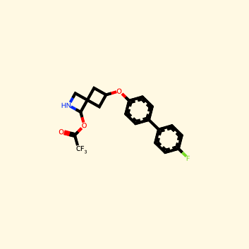 O=C(OC1NCC12CC(Oc1ccc(-c3ccc(F)cc3)cc1)C2)C(F)(F)F